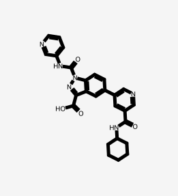 O=C(NC1CCCCC1)c1cncc(-c2ccc3c(c2)c(C(=O)O)nn3C(=O)Nc2cccnc2)c1